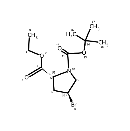 CCOC(=O)[C@H]1C[C@H](Br)CN1C(=O)OC(C)(C)C